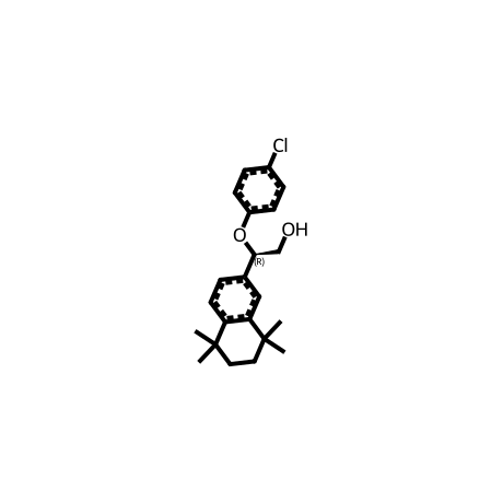 CC1(C)CCC(C)(C)c2cc([C@H](CO)Oc3ccc(Cl)cc3)ccc21